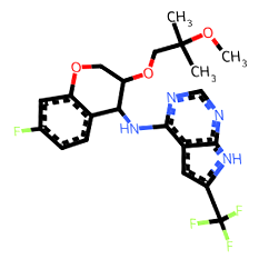 COC(C)(C)COC1COc2cc(F)ccc2C1Nc1ncnc2[nH]c(C(F)(F)F)cc12